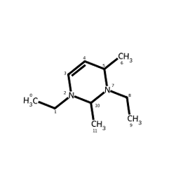 CCN1C=CC(C)N(CC)C1C